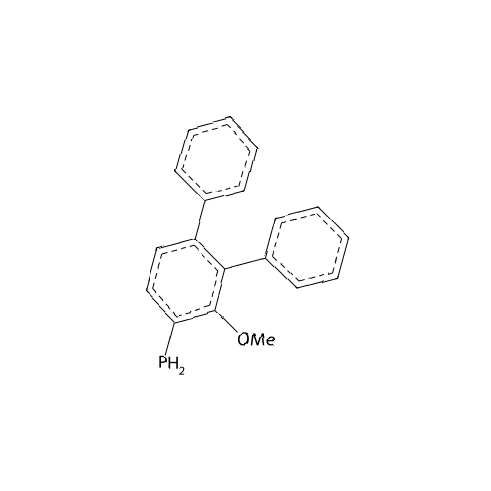 COc1c(P)ccc(-c2ccccc2)c1-c1ccccc1